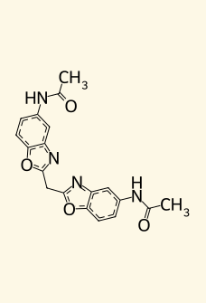 CC(=O)Nc1ccc2oc(Cc3nc4cc(NC(C)=O)ccc4o3)nc2c1